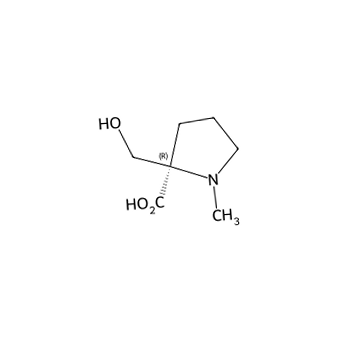 CN1CCC[C@@]1(CO)C(=O)O